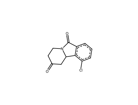 O=C1CCN2C(=O)c3cccc(Cl)c3C2C1